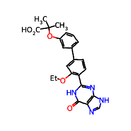 CCOc1cc(-c2cccc(OC(C)(C)C(=O)O)c2)ccc1-c1nc2[nH]cnc2c(=O)[nH]1